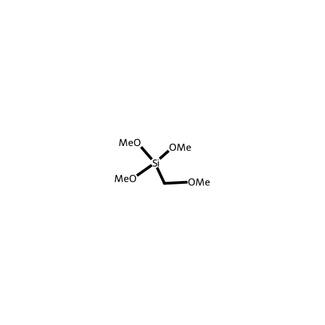 [CH2]OC[Si](OC)(OC)OC